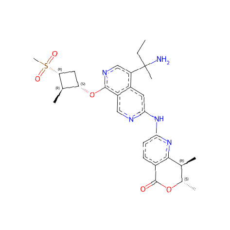 CCC(C)(N)c1cnc(O[C@H]2C[C@@H](S(C)(=O)=O)[C@@H]2C)c2cnc(Nc3ccc4c(n3)[C@@H](C)[C@H](C)OC4=O)cc12